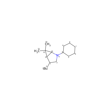 CC(C)(C)C1CN(C2CCCCC2)C2C1C2(C)C